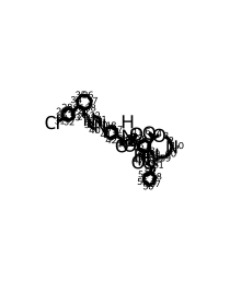 CN1CCOC(=O)c2cc(S(=O)(=O)NC(=O)c3ccc(N4CCN(CC5=C(c6ccc(Cl)cc6)CCCCC5)CC4)cc3)cc([N+](=O)[O-])c2N[C@@H](CSc2ccccc2)CC1